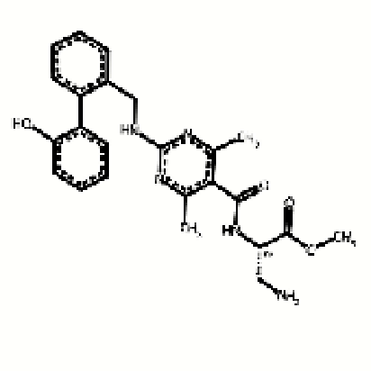 COC(=O)[C@H](CN)NC(=O)c1c(C)nc(NCc2ccccc2-c2ccccc2O)nc1C